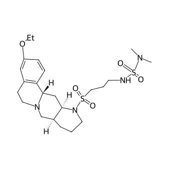 CCOc1ccc2c(c1)CCN1C[C@@H]3CCCN(S(=O)(=O)CCCNS(=O)(=O)N(C)C)[C@@H]3C[C@@H]21